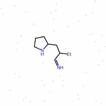 CCC(C=N)CC1CCCN1